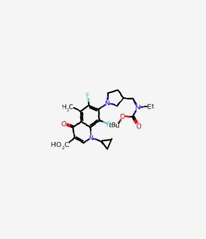 CCN(CC1CCN(c2c(F)c(C)c3c(=O)c(C(=O)O)cn(C4CC4)c3c2F)C1)C(=O)OC(C)(C)C